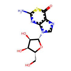 Nc1nc2c(ncn2[C@@H]2O[C@H](CO)[C@@H](O)[C@H]2O)c(=O)s1